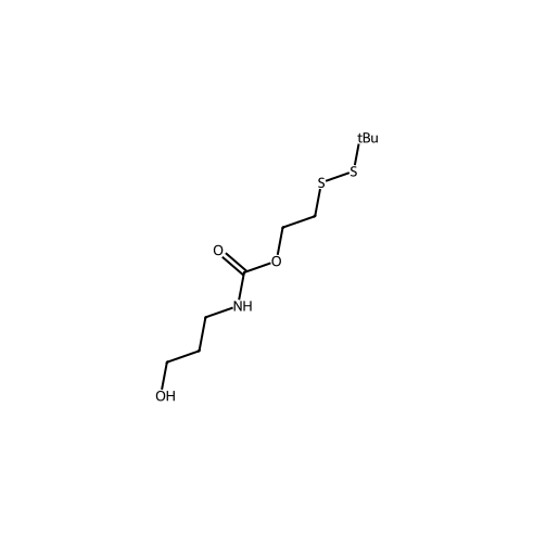 CC(C)(C)SSCCOC(=O)NCCCO